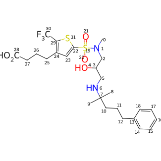 CN(CC(O)CNC(C)(C)CCCc1ccccc1)S(=O)(=O)c1cc(CCCC(=O)O)c(C(F)(F)F)s1